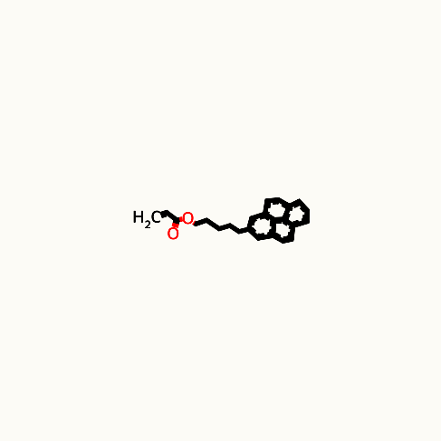 C=CC(=O)OCCCCCc1cc2ccc3cccc4ccc(c1)c2c34